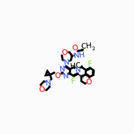 C#Cc1c(F)ccc2c1[C@H](c1ncc3c(N4CCOC[C@@H](NC(=O)C=C)C4)nc(OCC4(CN5CCOCC5)CC4)nc3c1F)CCO2